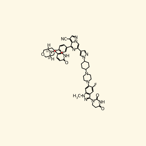 Cn1nc(N2CCC(=O)NC2=O)c2cc(F)c(N3CCN(C4CCC(n5cc(-c6cn7ncc(C#N)c7c(-c7ccc(N8C[C@H]9COC[C@@H](C8)N9Cc8ccc(=O)[nH]c8)nc7)n6)cn5)CC4)CC3)cc21